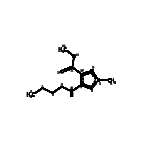 CCCCNc1cn(C)nc1C(=O)OC